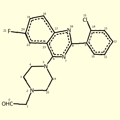 O=CCN1CCN(c2nc(-c3ccccc3Cl)nc3ccc(F)cc23)CC1